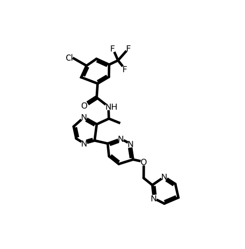 CC(NC(=O)c1cc(Cl)cc(C(F)(F)F)c1)c1nccnc1-c1ccc(OCc2ncccn2)nn1